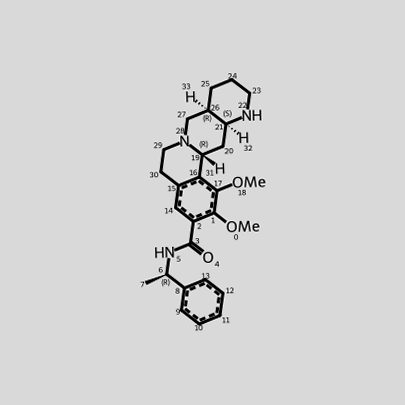 COc1c(C(=O)N[C@H](C)c2ccccc2)cc2c(c1OC)[C@H]1C[C@@H]3NCCC[C@@H]3CN1CC2